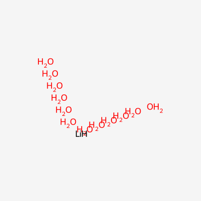 O.O.O.O.O.O.O.O.O.O.O.O.[LiH]